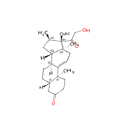 CC(=O)O[C@]1(C(=O)CO)[C@H](C)C[C@H]2[C@@H]3CC[C@H]4CC(=O)CC[C@]4(C)C3=CC[C@@]21C